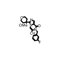 COC1(c2ncc3c(=O)n(Cc4cccc(F)c4)c(C)cn23)CCOCC1